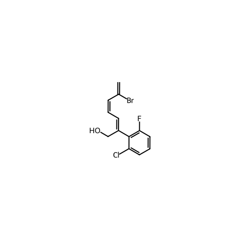 C=C(Br)/C=C\C=C(/CO)c1c(F)cccc1Cl